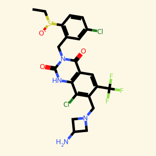 CC[S+]([O-])c1ccc(Cl)cc1Cn1c(=O)[nH]c2c(Cl)c(CN3CC(N)C3)c(C(F)(F)F)cc2c1=O